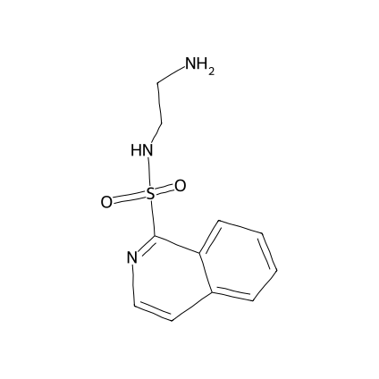 NCCNS(=O)(=O)c1nccc2ccccc12